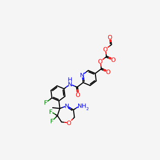 CC1(c2cc(NC(=O)c3ccc(C(=O)OC(=O)OC=O)cn3)ccc2F)N=C(N)COCC1(F)F